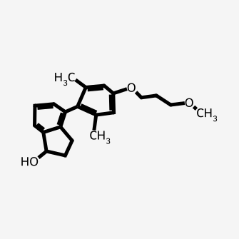 COCCCOc1cc(C)c(-c2cccc3c2CCC3O)c(C)c1